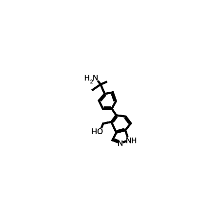 CC(C)(N)c1ccc(-c2ccc3[nH]ncc3c2CO)cc1